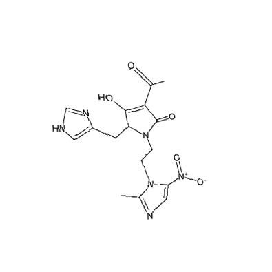 CC(=O)C1=C(O)C(Cc2c[nH]cn2)N(CCn2c([N+](=O)[O-])cnc2C)C1=O